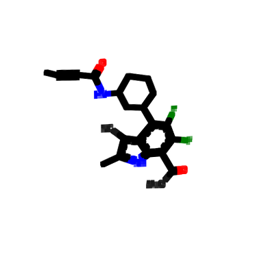 CC#CC(=O)NC1CCCC(c2c(F)c(F)c(C(=O)OC)c3[nH]c(C)c(C#N)c23)C1